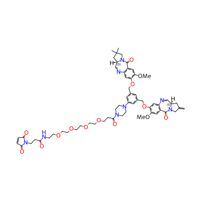 C=C1C[C@H]2C=Nc3cc(OCc4cc(COc5cc6c(cc5OC)C(=O)N5CC(C)(C)C[C@H]5C=N6)cc(N5CCN(C(=O)CCOCCOCCOCCOCCNC(=O)CCN6C(=O)C=CC6=O)CC5)c4)c(OC)cc3C(=O)N2C1